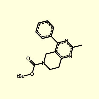 Cc1nc2c(c(-c3ccccc3)n1)CN(C(=O)OC(C)(C)C)CC2